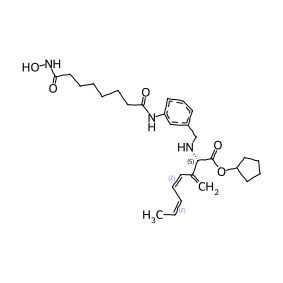 C=C(/C=C\C=C/C)[C@H](NCc1cccc(NC(=O)CCCCCCC(=O)NO)c1)C(=O)OC1CCCC1